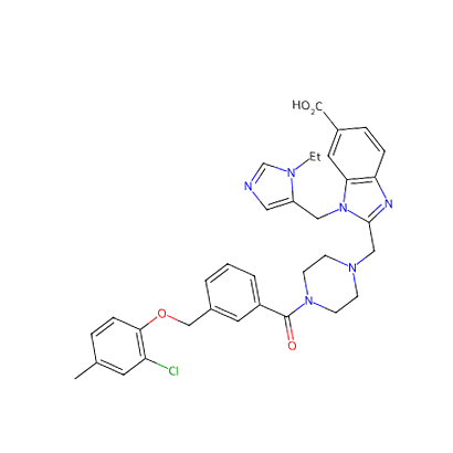 CCn1cncc1Cn1c(CN2CCN(C(=O)c3cccc(COc4ccc(C)cc4Cl)c3)CC2)nc2ccc(C(=O)O)cc21